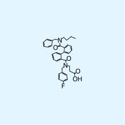 CCCCN(Cc1ccccc1)C(=O)c1ccccc1-c1ccccc1C(=O)N(CCC(=O)O)Cc1ccc(F)cc1